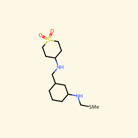 CSCNC1CCCC(CNC2CCS(=O)(=O)CC2)C1